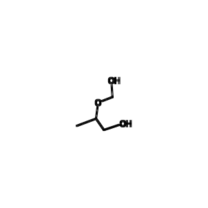 CC(CO)OCO